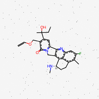 C=COCc1c(C(C)(O)CC)cc2n(c1=O)Cc1c-2nc2cc(F)c(C)c3c2c1[C@@H](NC)CC3